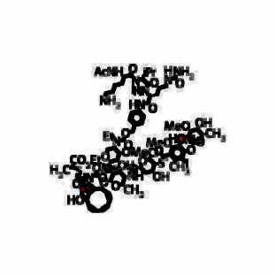 CCOC(=O)C(C)SSC/C=C1\C2=C(NC(=O)OC)C(=O)C[C@@]1(O)C#CC=CC#C[C@@H]2O[C@@H]1O[C@H](C)[C@@H](NO[C@H]2C[C@H](O)[C@H](SC(=O)c3c(C)c(I)c(O[C@@H]4O[C@@H](C)[C@H](O)[C@@H](OC)[C@H]4O)c(OC)c3OC)[C@@H](C)O2)[C@H](O)[C@H]1O[C@H]1C[C@H](OC)[C@@H](N(CC)C(=O)OCc2ccc(NC(=O)[C@H](CCCNC(N)=O)NC(=O)[C@@H](NC(=O)[C@H](CCCCN)NC(C)=O)C(C)C)cc2)CO1